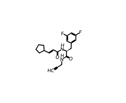 C#CCNC(=O)[C@H](Cc1cc(F)cc(F)c1)NC(=O)/C=C/C1CCCC1